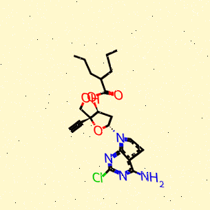 C#C[C@]1(CO)O[C@@H](n2ccc3c(N)nc(Cl)nc32)C[C@@H]1OC(=O)C(CCC)CCC